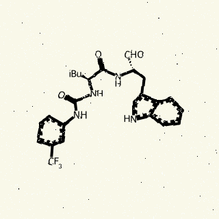 CCC(C)[C@H](NC(=O)Nc1cccc(C(F)(F)F)c1)C(=O)N[C@H](C=O)Cc1c[nH]c2ccccc12